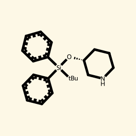 CC(C)(C)[Si](O[C@@H]1CCCNC1)(c1ccccc1)c1ccccc1